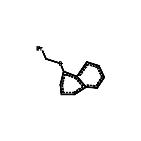 CC(C)C[B]c1cccc2ccccc12